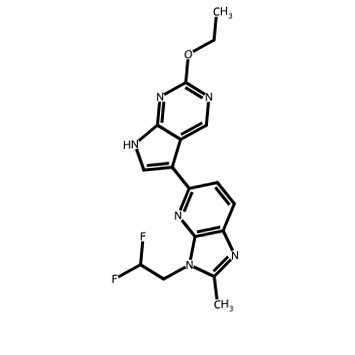 CCOc1ncc2c(-c3ccc4nc(C)n(CC(F)F)c4n3)c[nH]c2n1